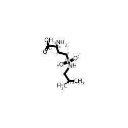 CC(C)CNS(=O)(=O)CCC(N)C(=O)O